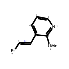 CC/C=C/c1cccnc1OC